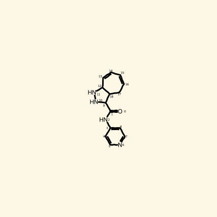 O=C(Nc1ccncc1)C1NNC2C=CC=CCC21